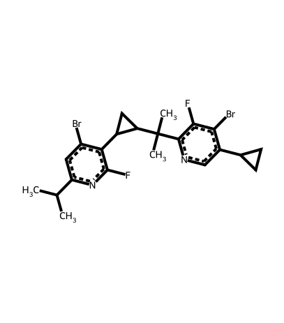 CC(C)c1cc(Br)c(C2CC2C(C)(C)c2ncc(C3CC3)c(Br)c2F)c(F)n1